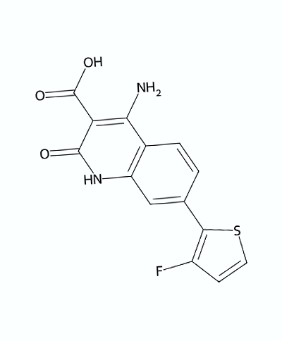 Nc1c(C(=O)O)c(=O)[nH]c2cc(-c3sccc3F)ccc12